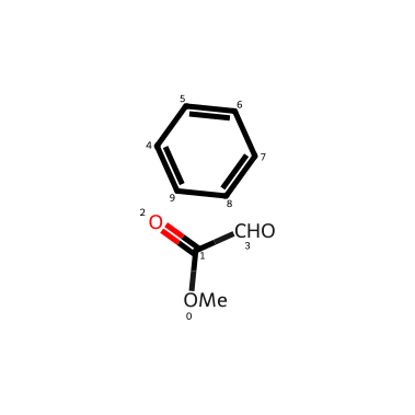 COC(=O)C=O.c1ccccc1